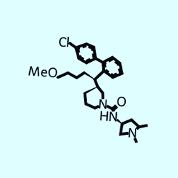 COCCCC[C@@H](c1ccccc1-c1ccc(Cl)cc1)[C@@H]1CCCN(C(=O)N[C@H]2CC(C)N(C)C2)C1